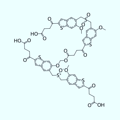 COc1cc2sc(C(=O)CCC(=O)O)cc2cc1C[S+]([O-])Cc1cc2cc(C(=O)CCC(=O)O)sc2cc1OCOC(=O)CCC(=O)c1cc2cc(CS(=O)(=O)Cc3cc4cc(C(=O)CCC(=O)O)sc4cc3OC)c(OC)cc2s1